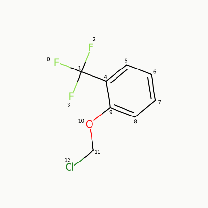 FC(F)(F)c1ccccc1OCCl